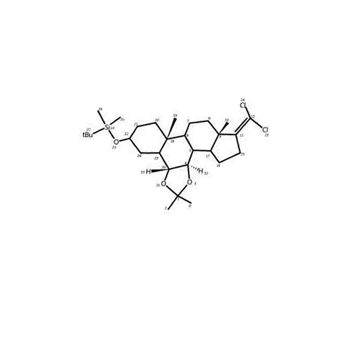 CC1(C)O[C@@H]2C3C(CC[C@]4(C)C(=C(Cl)Cl)CCC34)[C@@]3(C)CCC(O[Si](C)(C)C(C)(C)C)CC3[C@H]2O1